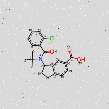 CC(C)(C)N(C(=O)c1ccccc1Cl)C1CCc2ccc(C(=O)O)cc21